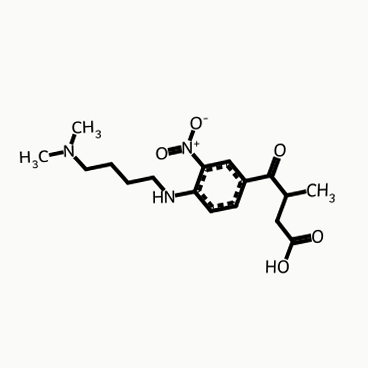 CC(CC(=O)O)C(=O)c1ccc(NCCCCN(C)C)c([N+](=O)[O-])c1